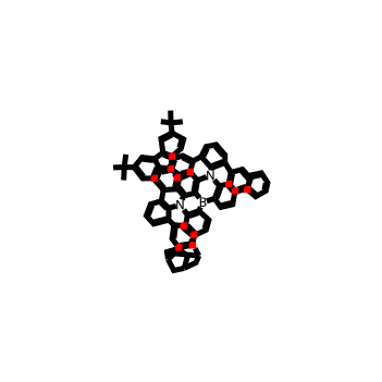 CC(C)(C)c1ccc2c(c1)c1cc(C(C)(C)C)ccc1n2-c1cc2c3c(c1)N(c1c(-c4ccccc4)cccc1-c1ccccc1)c1cc(N4C5CC6CC(C5)CC4C6)ccc1B3c1ccc(-c3ccccc3)cc1N2c1c(-c2ccccc2)cccc1-c1ccccc1